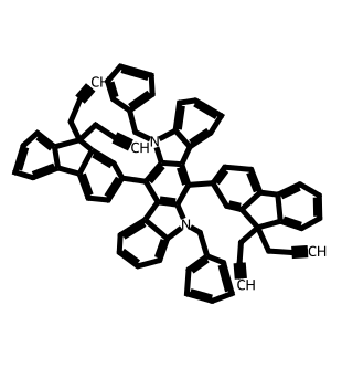 C#CCC1(CC#C)c2ccccc2-c2ccc(-c3c4c5ccccc5n(Cc5ccccc5)c4c(-c4ccc5c(c4)C(CC#C)(CC#C)c4ccccc4-5)c4c5ccccc5n(Cc5ccccc5)c34)cc21